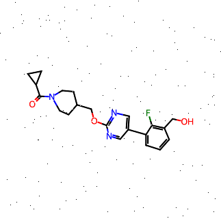 O=C(C1CC1)N1CCC(COc2ncc(-c3cccc(CO)c3F)cn2)CC1